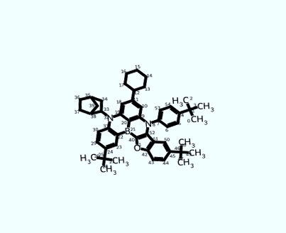 CC(C)(C)c1ccc(N2c3cc(C4CCCCC4)cc4c3B(c3cc(C(C)(C)C)ccc3N4C3CC4CCC3C4)c3oc4ccc(C(C)(C)C)cc4c32)cc1